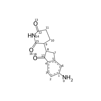 Nc1ccc2c(c1)CC(C1CCC(=O)NC1=O)C2=O